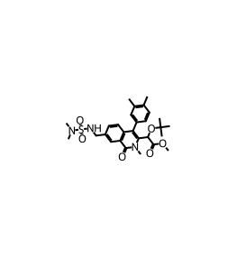 COC(=O)C(OC(C)(C)C)c1c(-c2ccc(C)c(C)c2)c2ccc(CNS(=O)(=O)N(C)C)cc2c(=O)n1C